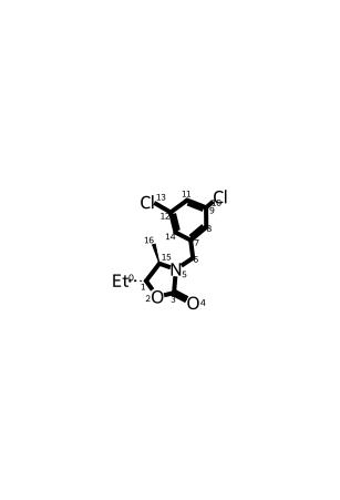 CC[C@H]1OC(=O)N(Cc2cc(Cl)cc(Cl)c2)[C@@H]1C